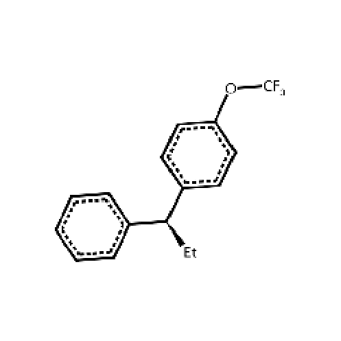 CC[C@@H](c1ccccc1)c1ccc(OC(F)(F)F)cc1